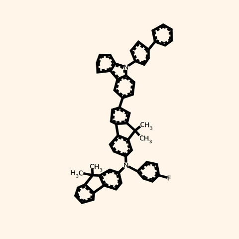 CC1(C)c2ccccc2-c2ccc(N(c3ccc(F)cc3)c3ccc4c(c3)C(C)(C)c3cc(-c5ccc6c(c5)c5ccccc5n6-c5ccc(-c6ccccc6)cc5)ccc3-4)cc21